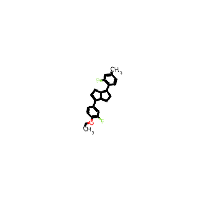 CCOc1ccc(C2=CCC3C2CCC3c2ccc(C)cc2F)cc1F